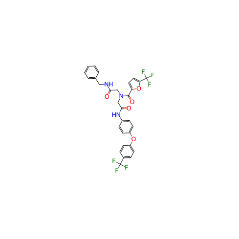 O=C(CN(CC(=O)Nc1ccc(Oc2ccc(C(F)(F)F)cc2)cc1)C(=O)c1ccc(C(F)(F)F)o1)NCc1ccccc1